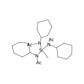 CC(=O)N(C1CCCCC1)[Si](C)(N(C(C)=O)C1CCCCC1)N(C(C)=O)C1CCCCC1